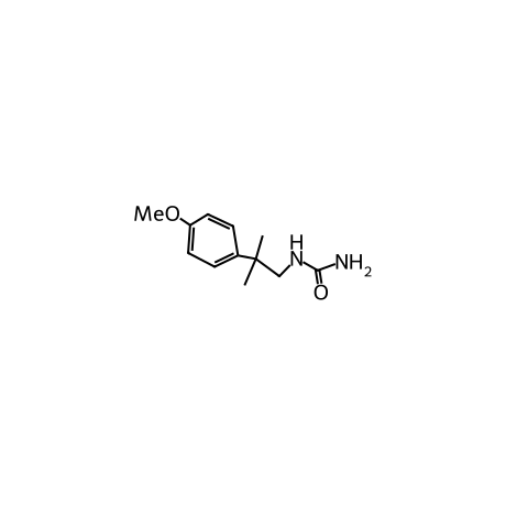 COc1ccc(C(C)(C)CNC(N)=O)cc1